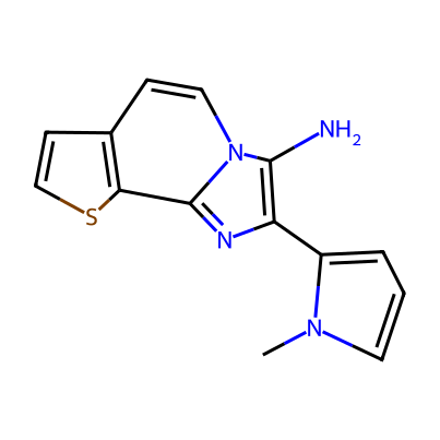 Cn1cccc1-c1nc2c3sccc3ccn2c1N